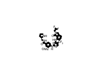 COc1cc(C(=O)NC[C@H]2CCCN2)ccc1Nc1ncc(C(F)(F)F)c(Nc2cccc3c2C(=O)N(CC(F)F)C3)n1